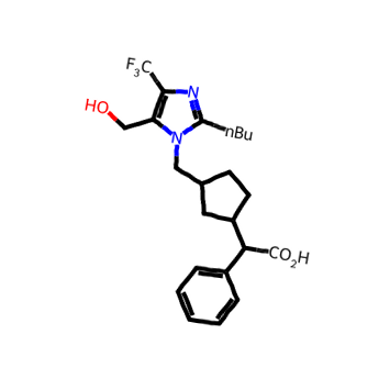 CCCCc1nc(C(F)(F)F)c(CO)n1CC1CCC(C(C(=O)O)c2ccccc2)C1